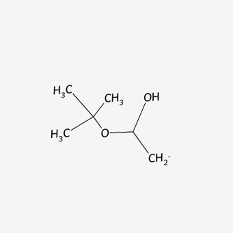 [CH2]C(O)OC(C)(C)C